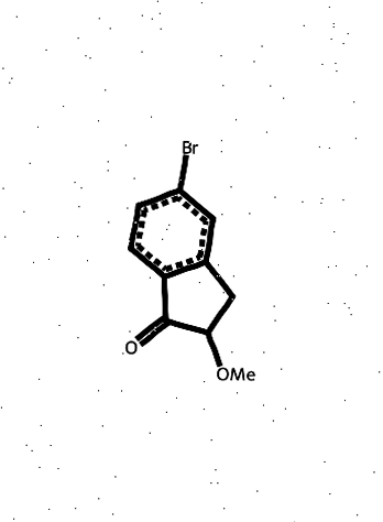 COC1Cc2cc(Br)ccc2C1=O